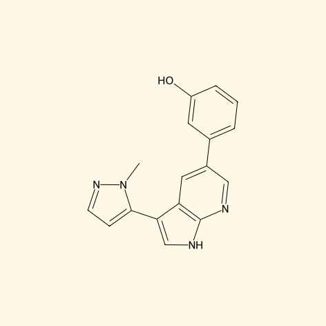 Cn1nccc1-c1c[nH]c2ncc(-c3cccc(O)c3)cc12